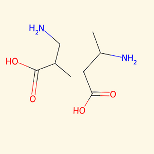 CC(CN)C(=O)O.CC(N)CC(=O)O